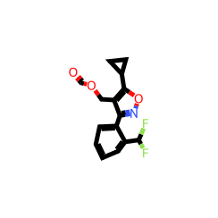 O=COCc1c(-c2ccccc2C(F)F)noc1C1CC1